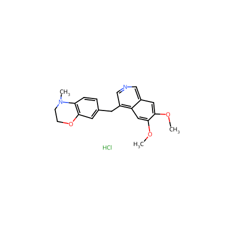 COc1cc2cncc(Cc3ccc4c(c3)OCCN4C)c2cc1OC.Cl